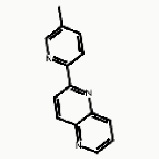 Cc1ccc(-c2ccc3ncccc3n2)nc1